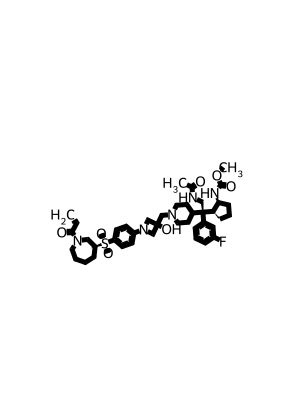 C=CC(=O)N1CCCC[C@H](S(=O)(=O)c2ccc(N3CC(O)(CN4CCC([C@@](CNC(C)=O)(c5cccc(F)c5)[C@H]5CCC[C@@H]5NC(=O)OC)CC4)C3)cc2)C1